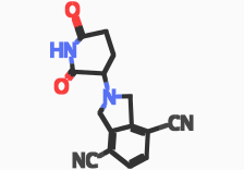 N#Cc1ccc(C#N)c2c1CN(C1CCC(=O)NC1=O)C2